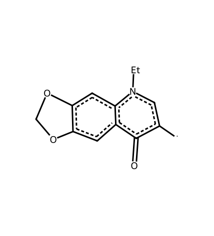 [CH2]c1cn(CC)c2cc3c(cc2c1=O)OCO3